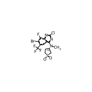 CN(c1nc(Cl)nc2c(F)c(Br)c(C(F)(F)F)cc12)[C@H]1CCS(=O)(=O)C1